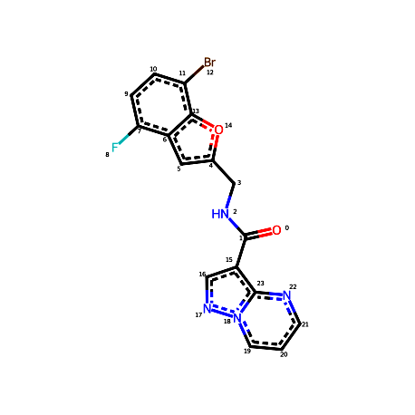 O=C(NCc1cc2c(F)ccc(Br)c2o1)c1cnn2cccnc12